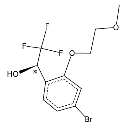 COCCOc1cc(Br)ccc1[C@@H](O)C(F)(F)F